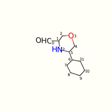 O=CC1COCC(C2CCCCC2)N1